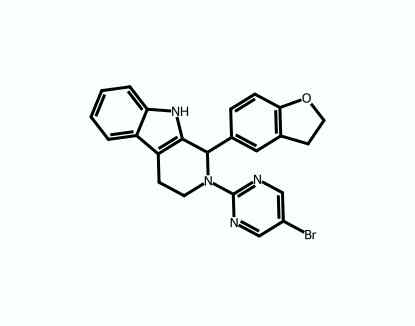 Brc1cnc(N2CCc3c([nH]c4ccccc34)C2c2ccc3c(c2)CCO3)nc1